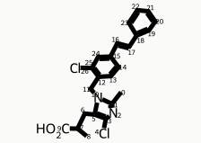 Cc1nc(Cl)c(CC(C)C(=O)O)n1Cc1ccc(C=Cc2ccccc2)cc1Cl